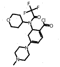 CN1CCN(C2=CC=C(C(=O)Cl)C(N(C(=O)C(F)(F)F)C3CCOCC3)C2)CC1